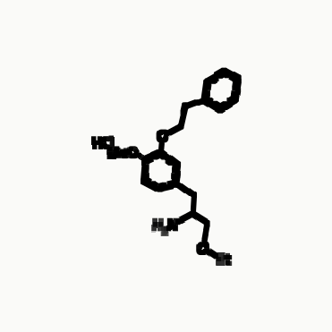 CCOCC(N)Cc1ccc(OC)c(OCCc2ccccc2)c1.Cl